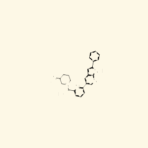 NC1CCCN(C(O)c2cccc(-c3cnc4[nH]c(-c5ccccc5)cc4c3)n2)C1